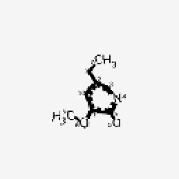 CCc1cnc(Cl)c(OC)c1